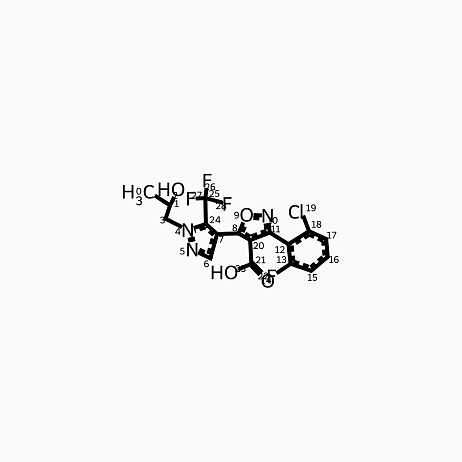 CC(O)Cn1ncc(-c2onc(-c3c(F)cccc3Cl)c2C(=O)O)c1C(F)(F)F